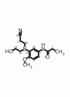 CCC(=O)Nc1ccc(OC)c(N(CCO)CCC#N)c1